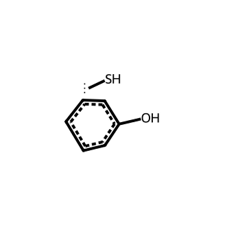 Oc1ccccc1.[C]S